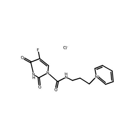 O=C(NCCC[n+]1ccccc1)n1cc(F)c(=O)[nH]c1=O.[Cl-]